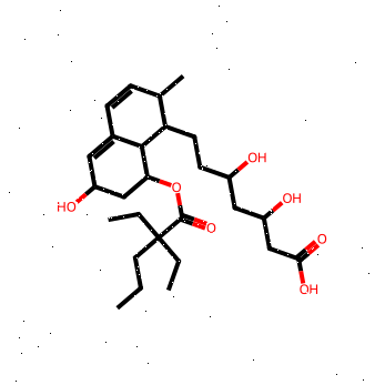 CCCC(CC)(CC)C(=O)OC1CC(O)C=C2C=CC(C)C(CCC(O)CC(O)CC(=O)O)C21